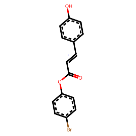 O=C(/C=C/c1ccc(O)cc1)Oc1ccc(Br)cc1